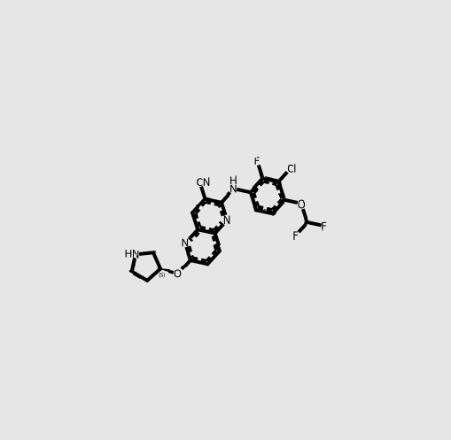 N#Cc1cc2nc(O[C@H]3CCNC3)ccc2nc1Nc1ccc(OC(F)F)c(Cl)c1F